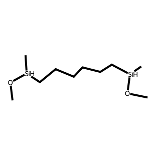 CO[SiH](C)CCCCCC[SiH](C)OC